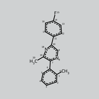 Cc1ccccc1-c1ncc(-c2ccc(F)cc2)nc1C